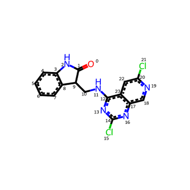 O=C1Nc2ccccc2C1CNc1nc(Cl)nc2cnc(Cl)cc12